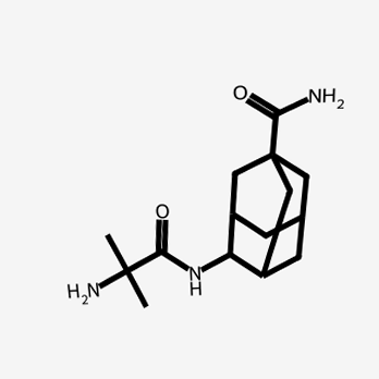 CC(C)(N)C(=O)NC1C2CC3CC1CC(C(N)=O)(C3)C2